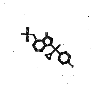 CC(c1ccc(F)cc1)(c1c[nH]c2c(CS(C)(=O)=O)cccc12)C1CC1